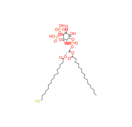 CCCCCCCCCCCCCCCC(=O)O[C@H](COC(=O)CCCCCCCCCCCCCCCS)COP(=O)(O)OC1C(O)[C@@H](OP(=O)(O)O)C(OP(=O)(O)O)[C@@H](O)[C@H]1O